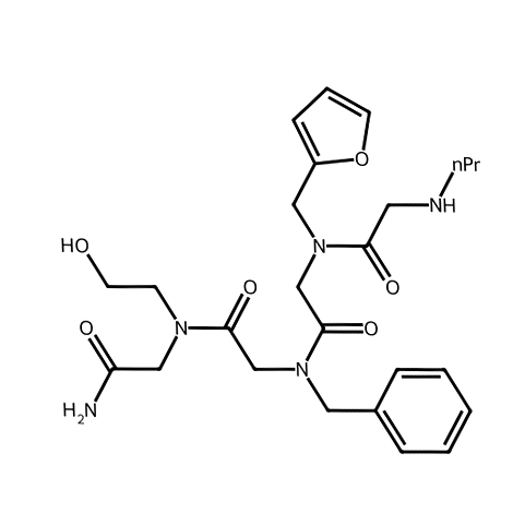 CCCNCC(=O)N(CC(=O)N(CC(=O)N(CCO)CC(N)=O)Cc1ccccc1)Cc1ccco1